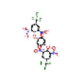 O=[N+]([O-])c1cc(C(F)(F)F)cc([N+](=O)[O-])c1Oc1ccc(Oc2c([N+](=O)[O-])cc(C(F)(F)F)cc2[N+](=O)[O-])cc1